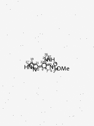 CO[C@H](C)C(=O)N1CCc2cc(-c3cnc4[nH]c(C)c(C)c4c3)cc([C@@H]3CCCN3)c2C1